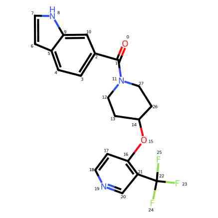 O=C(c1ccc2cc[nH]c2c1)N1CCC(Oc2ccncc2C(F)(F)F)CC1